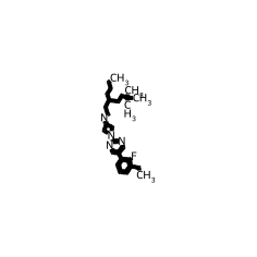 CCCCC(CCN=C1CN(c2ncc(-c3cccc(CC)c3F)cn2)C1)CCC(C)(C)C